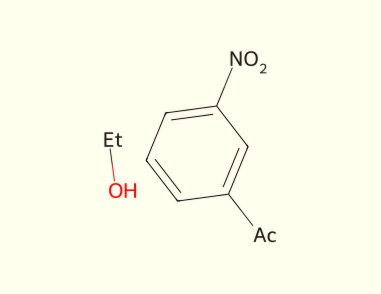 CC(=O)c1cccc([N+](=O)[O-])c1.CCO